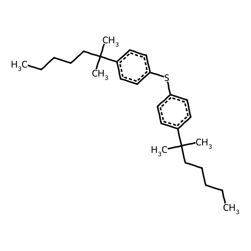 CCCCCC(C)(C)c1ccc(Sc2ccc(C(C)(C)CCCCC)cc2)cc1